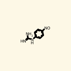 N=C(N)Nc1ccc(N=O)cc1